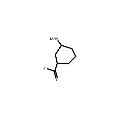 CNC1CCCC(C(=O)C(C)C)C1